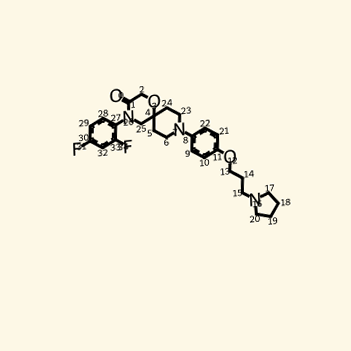 O=C1COC2(CCN(c3ccc(OCCCN4CCCC4)cc3)CC2)CN1c1ccc(F)cc1F